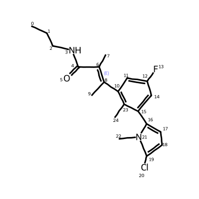 CCCNC(=O)/C(C)=C(\C)c1cc(F)cc(-c2ccc(Cl)n2C)c1C